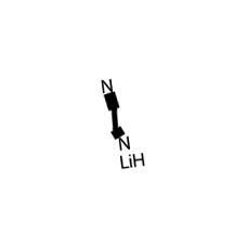 N#CC#N.[LiH]